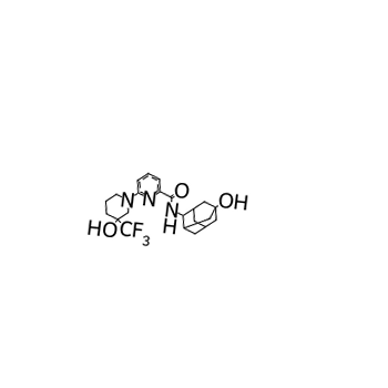 O=C(NC1C2CC3CC1CC(O)(C3)C2)c1cccc(N2CCCC(O)(C(F)(F)F)C2)n1